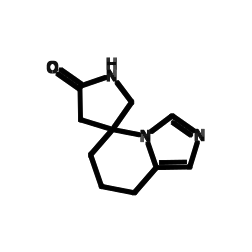 O=C1CC2(CCCc3cncn32)CN1